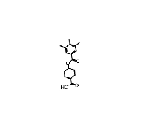 Cc1cc(C(=O)OC2CCC(C(=O)O)CC2)cc(C)c1C